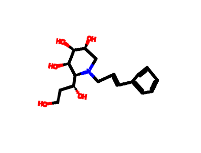 OCC[C@@H](O)[C@H]1[C@@H](O)[C@@H](O)[C@@H](O)CN1CC=Cc1ccccc1